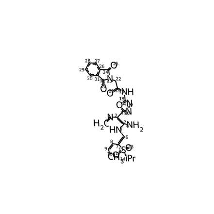 C=N/C(=C(/N)N/C=C(\C=C/C)S(=O)(=O)C(C)C)c1nnc(NC(=O)CN2C(=O)c3ccccc3C2=O)o1